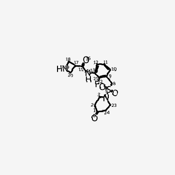 O=C1CCN(S(=O)(=O)Cc2cccc(NC(=O)C3CNC3)c2F)CC1